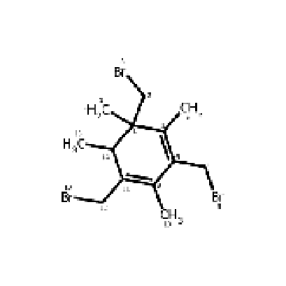 [CH2]C1(CBr)C(C)=C(CBr)C(C)=C(CBr)C1C